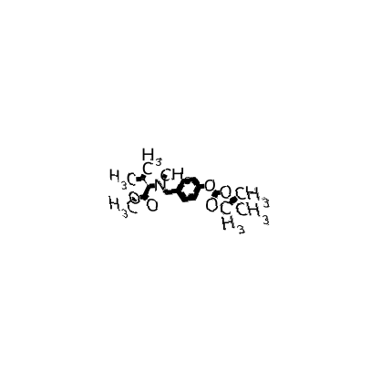 COC(=O)[C@H](C(C)C)N(C)Cc1ccc(OC(=O)OC(C)(C)C)cc1